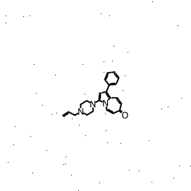 C=CCN1CCN(c2cc(-c3ccccc3)c3ccc(=O)ccn23)CC1